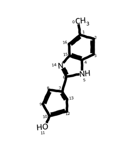 Cc1ccc2[nH]c(-c3ccc(O)cc3)nc2c1